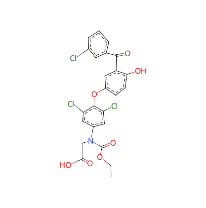 CCOC(=O)N(CC(=O)O)c1cc(Cl)c(Oc2ccc(O)c(C(=O)c3cccc(Cl)c3)c2)c(Cl)c1